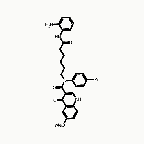 COc1ccc2[nH]cc(C(=O)N(CCCCCC(=O)Nc3ccccc3N)c3ccc(C(C)C)cc3)c(=O)c2c1